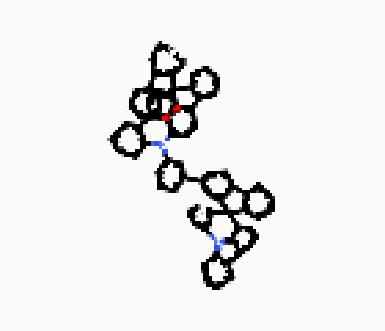 c1ccc(-c2ccccc2N(c2cccc(-c3ccc4c(c3)C3(c5ccccc5-4)c4ccccc4-n4c5ccccc5c5cccc3c54)c2)c2ccc3c(c2)C2(c4ccccc4-c4ccccc42)c2ccccc2-3)cc1